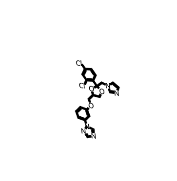 Clc1ccc(C2(Cn3ccnc3)OCC(COc3cccc(-n4cncn4)c3)O2)c(Cl)c1